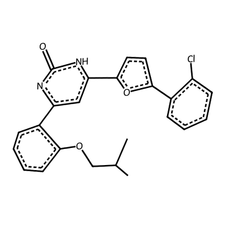 CC(C)COc1ccccc1-c1cc(-c2ccc(-c3ccccc3Cl)o2)[nH]c(=O)n1